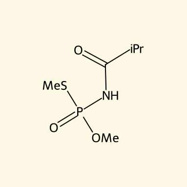 COP(=O)(NC(=O)C(C)C)SC